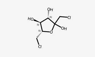 O[C@@H]1[C@@H](CCl)OC(O)(CCl)[C@H]1O